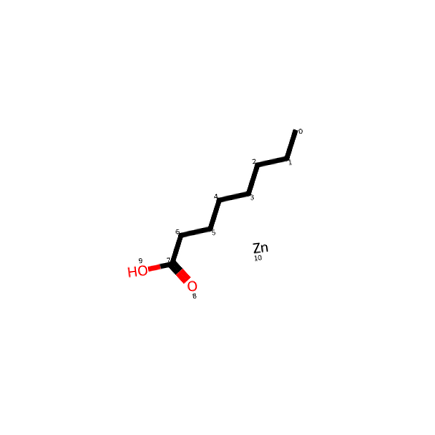 CCCCCCCC(=O)O.[Zn]